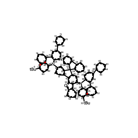 CC(C)(C)c1ccc(N(c2ccc3c(c2)C2(c4ccccc4-c4ccccc42)c2cc(N(c4ccc(C(C)(C)C)cc4)c4ccc(-c5ccccc5)cc4-c4ccccc4)c4c(oc5ccccc54)c2-3)c2ncc(-c3ccccc3)cc2-c2ccccc2)cc1